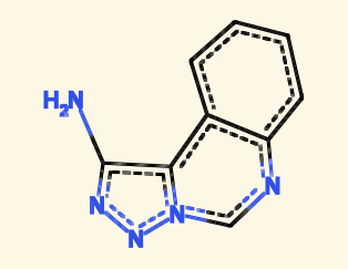 Nc1nnn2cnc3ccccc3c12